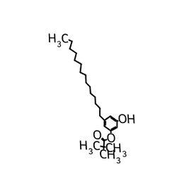 CCCCCCCCCCCCCCCc1cc(O)cc(OC(=O)C(C)(C)C)c1